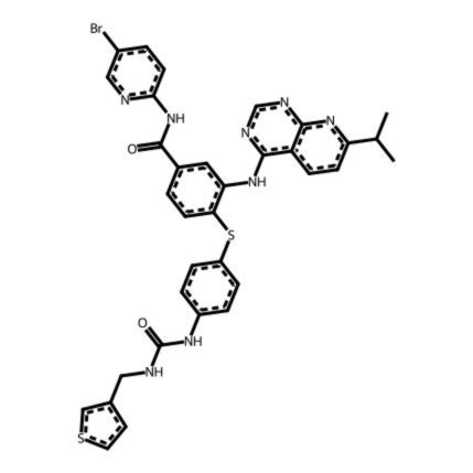 CC(C)c1ccc2c(Nc3cc(C(=O)Nc4ccc(Br)cn4)ccc3Sc3ccc(NC(=O)NCc4ccsc4)cc3)ncnc2n1